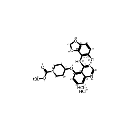 CC(C)(C)OC(=O)N1CCC(Oc2cccc3ncnc(Nc4c(Cl)ccc5c4OCO5)c23)CC1.Cl.Cl